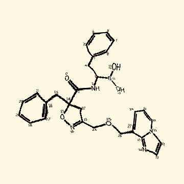 O=C(NC(Cc1ccccc1)B(O)O)C1(Cc2ccccc2)CC(COCc2cccn3ccnc23)=NO1